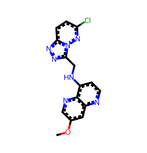 COc1cnc2c(NCc3nnc4ccc(Cl)nn34)ccnc2c1